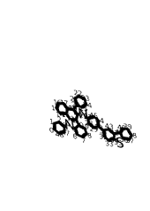 c1ccc(-n2c3ccccc3c3c2c2ccccc2c2c4ccccc4n(-c4ccc(-c5ccc6sc7ccccc7c6c5)cc4)c23)cc1